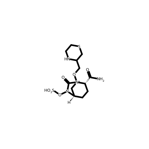 NC(=O)[C@@H]1CC[C@@H]2C[N+]1(OCC1CSCCN1)C(=O)N2OS(=O)(=O)O